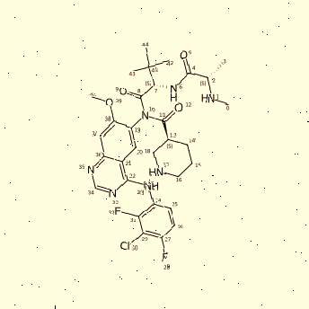 CN[C@@H](C)C(=O)N[C@H](C(=O)N(C(=O)[C@H]1CCCNC1)c1cc2c(Nc3ccc(F)c(Cl)c3F)ncnc2cc1OC)C(C)(C)C